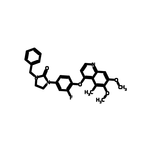 COc1cc2nccc(Oc3ccc(N4CCN(Cc5ccccc5)C4=O)cc3F)c2c(C)c1OC